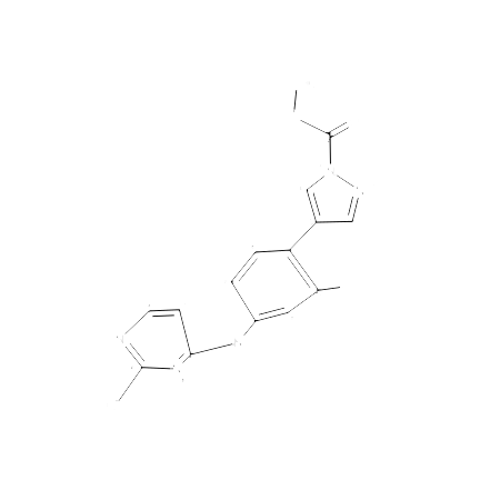 CC(C)(C)OC(=O)n1cc(-c2ccc(Nc3ccnc(Cl)n3)cc2F)cn1